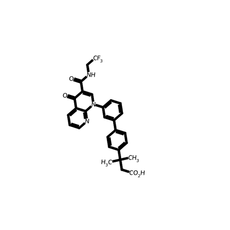 CC(C)(CC(=O)O)c1ccc(-c2cccc(-n3cc(C(=O)NCC(F)(F)F)c(=O)c4cccnc43)c2)cc1